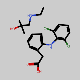 CCNCC(C)(C)O.O=C(O)Cc1ccccc1Nc1c(Cl)cccc1Cl